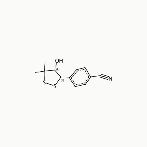 CC1(C)SS[C@@H](c2ccc(C#N)cc2)[C@H]1O